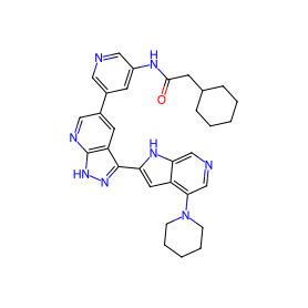 O=C(CC1CCCCC1)Nc1cncc(-c2cnc3[nH]nc(-c4cc5c(N6CCCCC6)cncc5[nH]4)c3c2)c1